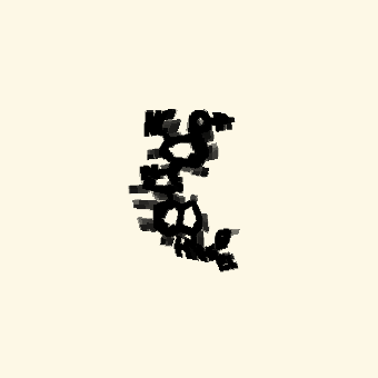 CC[S+]([O-])NC1CCc2c(-c3cnc(-c4ccc(OC(C)C)c(C#N)c4)s3)cccc21